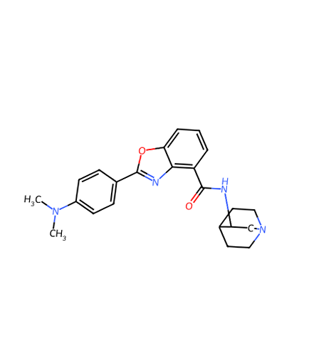 CN(C)c1ccc(-c2nc3c(C(=O)NC4CN5CCC4CC5)cccc3o2)cc1